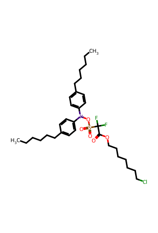 CCCCCCc1ccc([I+](OS(=O)(=O)C(F)(F)C(=O)OCCCCCCCCl)c2ccc(CCCCCC)cc2)cc1